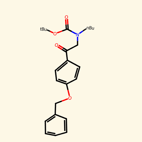 CCCCN(CC(=O)c1ccc(OCc2ccccc2)cc1)C(=O)OC(C)(C)C